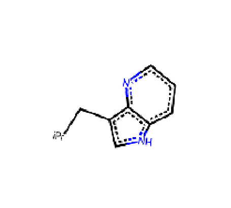 CC(C)Cc1c[nH]c2cccnc12